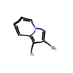 CCc1c(C(C)(C)C)cn2ccccc12